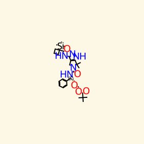 CC(C)(C)C(=O)OCOC[C@@H](NC(=O)N1Cc2c(NC(=O)C3([Si](C)(C)C)CCC3)n[nH]c2C1(C)C)c1ccccc1